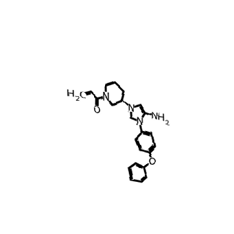 C=CC(=O)N1CCC[C@@H](N2C=C(N)N(c3ccc(Oc4ccccc4)cc3)C2)C1